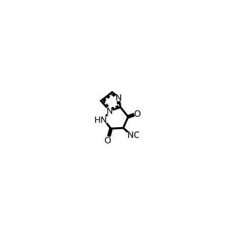 [C-]#[N+]C1C(=O)Nn2ccnc2C1=O